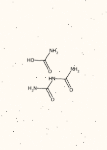 NC(=O)NC(N)=O.NC(=O)O